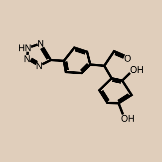 O=CC(c1ccc(-c2nn[nH]n2)cc1)c1ccc(O)cc1O